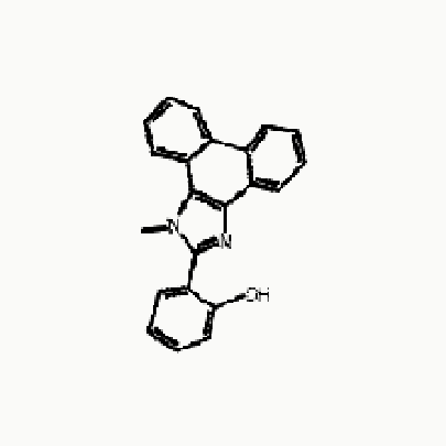 Cn1c(-c2ccccc2O)nc2c3ccccc3c3ccccc3c21